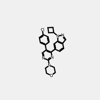 Clc1ccc(-c2[c]nc(N3CCOCC3)nc2-c2ccc3cnn(C4CCC4)c3c2)cc1